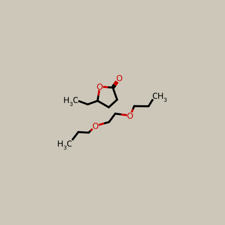 CCC1CCC(=O)O1.CCCOCCOCCC